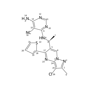 Cc1nn2cc([C@H](C)Nc3ncnc(N)c3C#N)c(-c3cccs3)nc2c1Cl